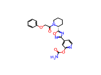 NC(=O)Oc1cc(-c2noc([C@H]3CCCCN3C(=O)COc3ccccc3)n2)ccn1